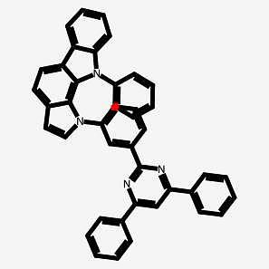 c1ccc(-c2cc(-c3ccccc3)nc(-c3cccc(-n4ccc5ccc6c7ccccc7n(-c7ccccc7)c6c54)c3)n2)cc1